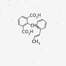 CC=Cc1ccccc1.Cc1c(C(=O)O)cccc1C(=O)O